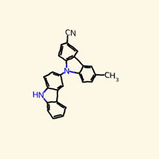 Cc1ccc2c(c1)c1cc(C#N)ccc1n2-c1ccc2[nH]c3ccccc3c2c1